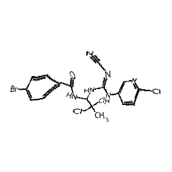 CC(Cl)(Cl)C(NC(=O)c1ccc(Br)cc1)N/C(=N\C#N)Nc1ccc(Cl)nc1